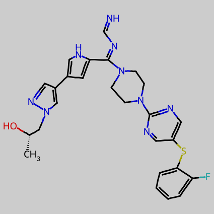 C[C@H](O)Cn1cc(-c2c[nH]c(/C(=N\C=N)N3CCN(c4ncc(Sc5ccccc5F)cn4)CC3)c2)cn1